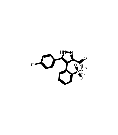 NC(=O)c1n[nH]c(-c2ccc(Cl)cc2)c1-c1ccccc1S(N)(=O)=O